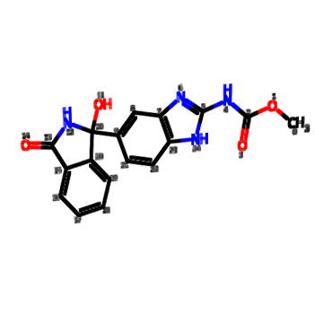 COC(=O)Nc1nc2cc(C3(O)NC(=O)c4ccccc43)ccc2[nH]1